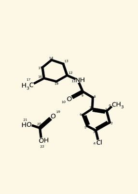 Cc1cc(Cl)ccc1CC(=O)NC1CCCC(C)C1.O=C(O)O